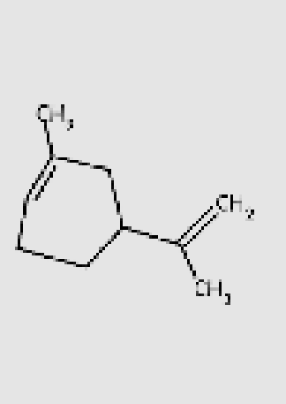 C=C(C)C1CCC=C(C)C1